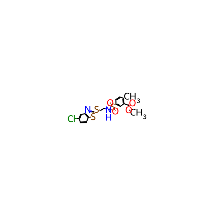 COC(=O)c1cc(S(=O)(=O)NCCSc2nc3cc(Cl)ccc3s2)ccc1C